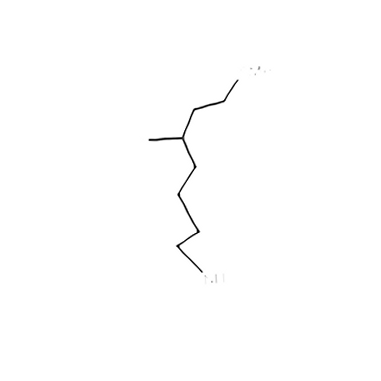 CSCC[C](CCCCN)C(C)C